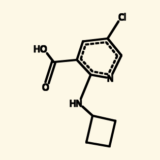 O=C(O)c1cc(Cl)cnc1NC1CCC1